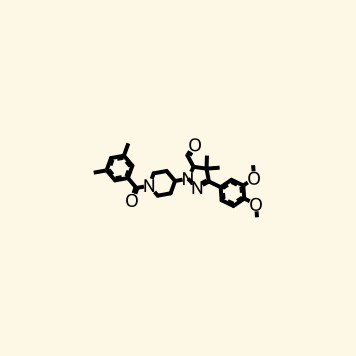 COc1ccc(C2=NN(C3CCN(C(=O)c4cc(C)cc(C)c4)CC3)C(C=O)C2(C)C)cc1OC